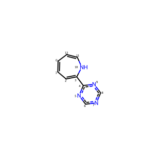 C1=CC=C(c2ncncn2)NC=C1